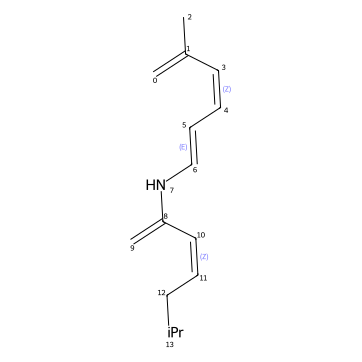 C=C(C)/C=C\C=C\NC(=C)/C=C\CC(C)C